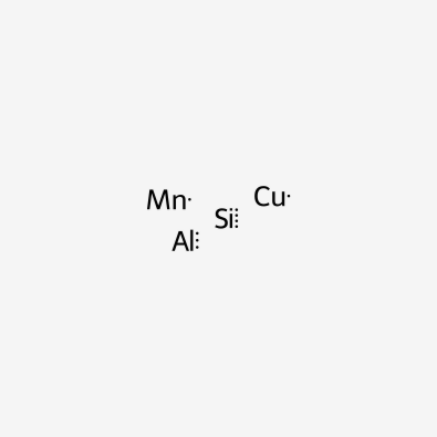 [Al].[Cu].[Mn].[Si]